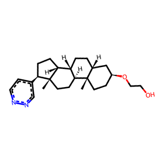 C[C@]12CC[C@H](OCCO)C[C@H]1CC[C@H]1[C@H]3CC[C@H](c4ccnnc4)[C@@]3(C)CC[C@@H]12